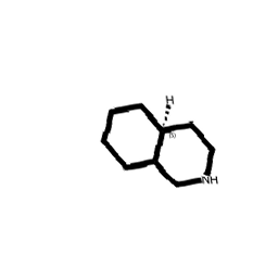 C1CC[C@H]2CCNCC2C1